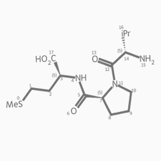 CSCC[C@H](NC(=O)[C@@H]1CCCN1C(=O)[C@@H](N)C(C)C)C(=O)O